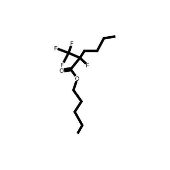 CCCCCOC(=O)C(F)(CCCC)C(F)(F)F